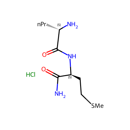 CCC[C@H](N)C(=O)N[C@@H](CCSC)C(N)=O.Cl